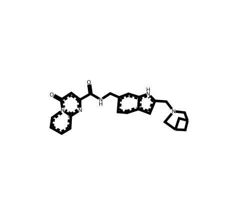 O=C(NCc1ccc2cc(CN3CC4CC(C4)C3)[nH]c2c1)c1cc(=O)n2ccccc2n1